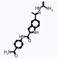 C=C(N)N/N=C(\C)c1ccc2[nH]c(C(=O)Nc3ccc(C(N)=O)cc3)cc2c1